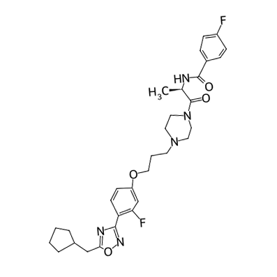 C[C@@H](NC(=O)c1ccc(F)cc1)C(=O)N1CCN(CCCOc2ccc(-c3noc(CC4CCCC4)n3)c(F)c2)CC1